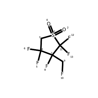 O=S1(=O)CC(F)(F)C(F)(CF)C1(F)F